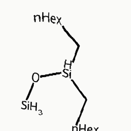 CCCCCCC[SiH](CCCCCCC)O[SiH3]